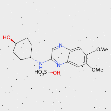 COc1cc2ncc(N[C@H]3CC[C@H](O)CC3)nc2cc1OC.O=S(=O)(O)O